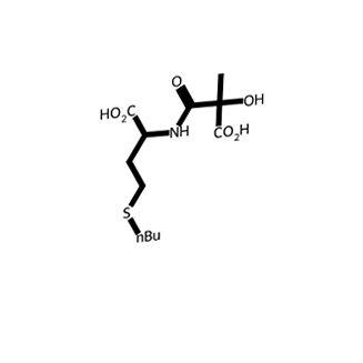 CCCCSCCC(NC(=O)C(C)(O)C(=O)O)C(=O)O